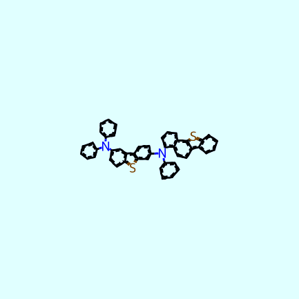 c1ccc(N(c2ccccc2)c2ccc3sc4cc(N(c5ccccc5)c5cccc6c5ccc5c7ccccc7sc65)ccc4c3c2)cc1